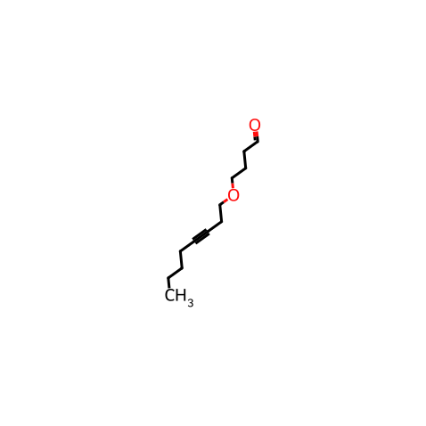 CCCCC#CCCOCCCC=O